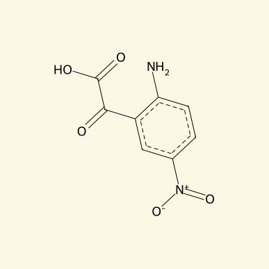 Nc1ccc([N+](=O)[O-])cc1C(=O)C(=O)O